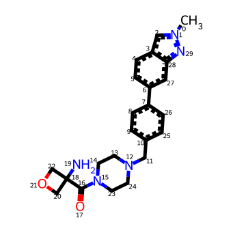 Cn1cc2ccc(-c3ccc(CN4CCN(C(=O)C5(N)COC5)CC4)cc3)cc2n1